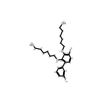 OCCCCCCOc1c(F)ccc(-c2cccc(F)c2)c1OCCCCCCO